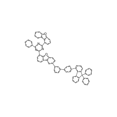 c1ccc(-c2nc(-c3cccc4c3oc3ccc(-c5cccc(-c6ccc(-c7cccc8c7-c7ccccc7C8(c7ccccc7)c7ccccc7)cc6)c5)cc34)nc(-c3cccc4oc5ccccc5c34)n2)cc1